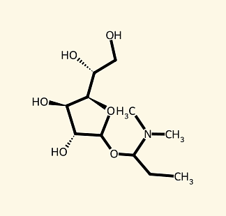 CCC(OC1O[C@H]([C@H](O)CO)[C@H](O)[C@H]1O)N(C)C